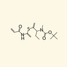 C=CC(=O)NC(=C)SC(=C)C(CC)N(C)C(=O)OC(C)(C)C